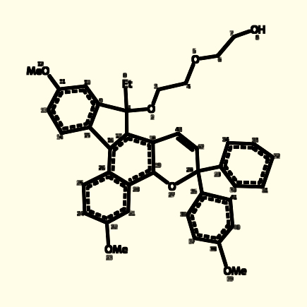 CCC1(OCCOCCO)c2cc(OC)ccc2-c2c1c1c(c3cc(OC)ccc23)OC(c2ccccc2)(c2ccc(OC)cc2)C=C1